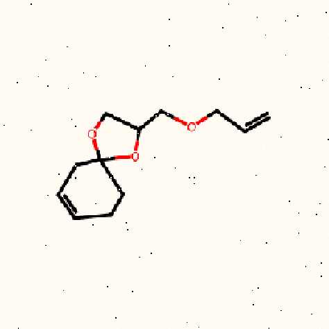 C=CCOCC1COC2(CC=CCC2)O1